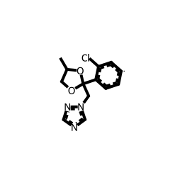 CC1COC(Cn2cncn2)(c2cc[c]cc2Cl)O1